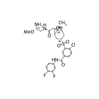 CO[C@H](N)CNC(=O)C[C@@]1(O)C2C[C@@H](S(=O)(=O)c3cc(C(=O)Nc4ccc(F)c(F)c4)ccc3Cl)CC1[C@@H](C)C2